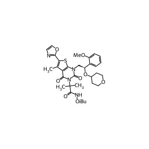 COc1ccccc1[C@H](Cn1c(=O)n(C(C)(C)C(=O)NOCC(C)C)c(=O)c2c(C)c(-c3ncco3)sc21)OC1CCOCC1